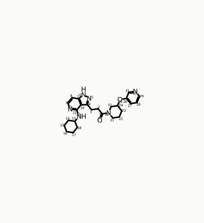 O=C(CCc1n[nH]c2ccnc(NC3CCCCC3)c12)N1CCCC(Oc2cccnc2)C1